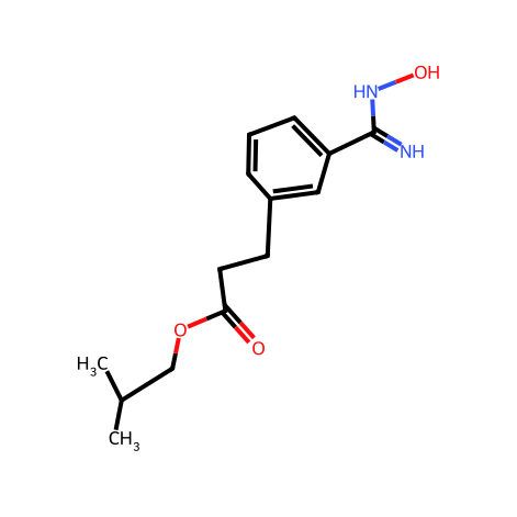 CC(C)COC(=O)CCc1cccc(C(=N)NO)c1